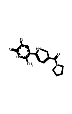 CCc1cc(C2=CC=C(C(=O)N3CCCC3)CN2)c(C)[nH]c1=O